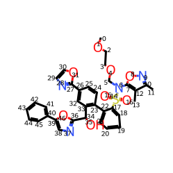 COCCOCN(c1onc(C)c1C)S(=O)(=O)c1ccccc1-c1ccc(-c2ncco2)cc1C(O)c1ncc(-c2ccccc2)o1